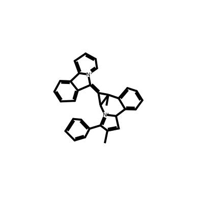 CC1=CC2c3ccccc3C3(C)/C(=C4/c5ccccc5-c5cccc[n+]54)C3[N+]2=C1c1ccccc1